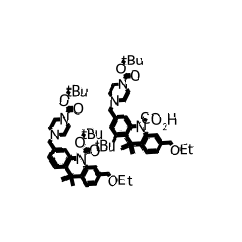 CCOCc1ccc2c(c1)N(C(=O)O)c1cc(CN3CCN(C(=O)OC(C)(C)C)CC3)cc(C(C)(C)C)c1C2(C)C.CCOCc1ccc2c(c1)N(C(=O)OC(C)(C)C)c1cc(CN3CCN(C(=O)OC(C)(C)C)CC3)ccc1C2(C)C